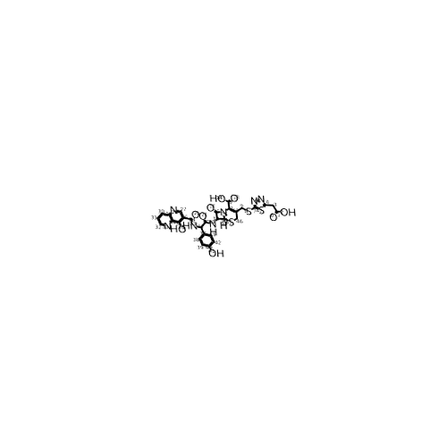 O=C(O)Cc1nnc(SCC2=C(C(=O)O)N3C(=O)C(NC(=O)C(NC(=O)c4cnc5cccnc5c4O)c4ccc(O)cc4)[C@H]3SC2)s1